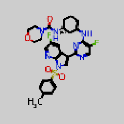 Cc1ccc(S(=O)(=O)n2cc(-c3ncc(F)c(NC4CCC[C@@H](NC(=O)N5CCOCC5)C4)n3)c3cc(F)cnc32)cc1